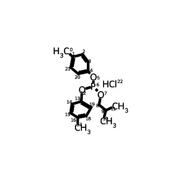 Cc1ccc(OP(OCC(C)C)Oc2ccc(C)cc2)cc1.Cl